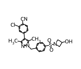 Cc1nn(Cc2ccc(S(=O)(=O)N3CC(O)C3)cc2)c(C)c1-c1ccc(C#N)c(Cl)c1